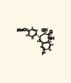 COc1ccc([C@H]2Sc3cc(F)ccc3NC(=O)[C@H]2O)cc1